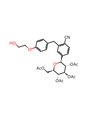 CC(=O)OC[C@H]1O[C@@H](c2ccc(C#N)c(Cc3ccc(OCCO)cc3)c2)[C@H](OC(C)=O)[C@@H](OC(C)=O)[C@@H]1OC(C)=O